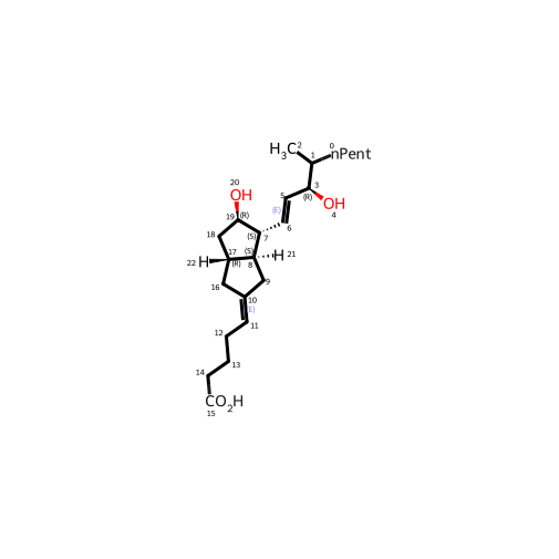 CCCCCC(C)[C@@H](O)/C=C/[C@@H]1[C@H]2C/C(=C/CCCC(=O)O)C[C@@H]2C[C@H]1O